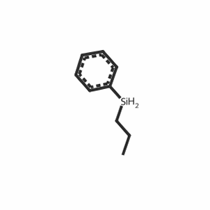 CCC[SiH2]c1ccccc1